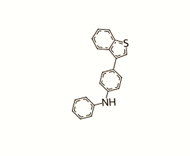 c1ccc(Nc2ccc(-c3csc4ccccc34)cc2)cc1